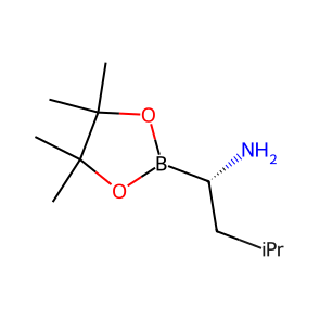 CC(C)C[C@@H](N)B1OC(C)(C)C(C)(C)O1